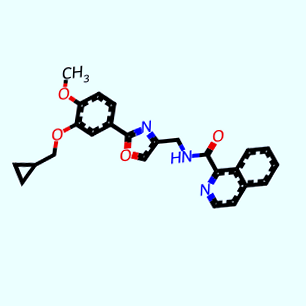 COc1ccc(-c2nc(CNC(=O)c3nccc4ccccc34)co2)cc1OCC1CC1